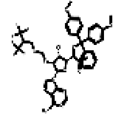 COc1ccc(C(OC(C(C)=O)[C@H]2O[C@@H](n3cnc4c(N)ncnc43)[C@@H](OCOCC(C(F)(F)F)C(F)(F)F)[C@@H]2O)(c2ccccc2)c2ccc(OC)cc2)cc1